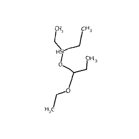 CCOC(CC)O[SiH](CC)CC